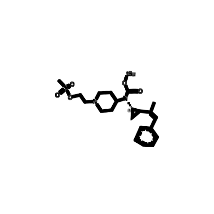 CC(=Cc1ccccc1)C1C[C@@H]1N(C(=O)OC(C)(C)C)C1CCN(CCOS(C)(=O)=O)CC1